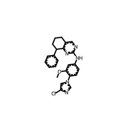 COc1cc(Nc2ncc3c(n2)C(c2ccccc2)CCC3)ccc1-n1cnc(Cl)c1